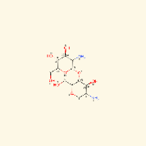 NC1[C@H](O[C@H]2C(CO)OCC(N)[C@@H]2O)OC(CO)[C@H](O)[C@H]1O